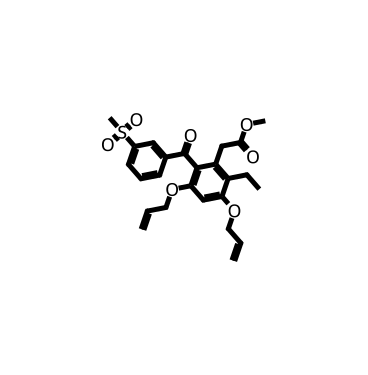 C=CCOc1cc(OCC=C)c(C(=O)c2cccc(S(C)(=O)=O)c2)c(CC(=O)OC)c1CC